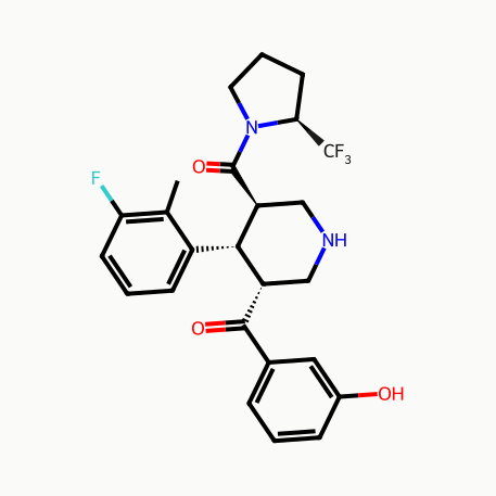 Cc1c(F)cccc1[C@H]1[C@@H](C(=O)c2cccc(O)c2)CNC[C@@H]1C(=O)N1CCC[C@H]1C(F)(F)F